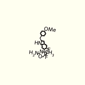 COc1ccc(Cc2cc3cc(F)c(C4(C)N=C(N)OCC4(F)F)cc3[nH]2)cc1